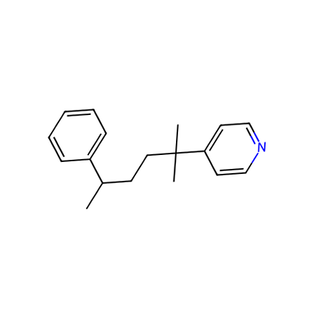 CC(CCC(C)(C)c1ccncc1)c1ccccc1